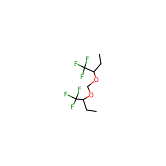 CCC(OCOC(CC)C(F)(F)F)C(F)(F)F